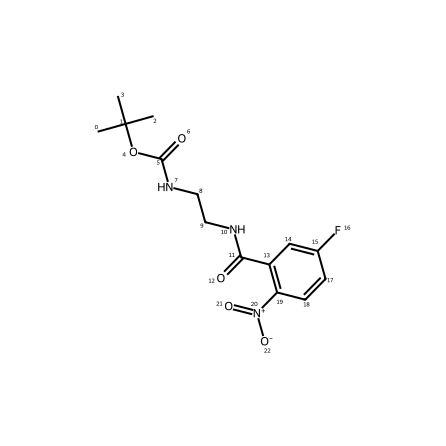 CC(C)(C)OC(=O)NCCNC(=O)c1cc(F)ccc1[N+](=O)[O-]